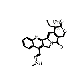 CC[C@@]1(O)C(=O)OCc2c1cc1n(c2=O)Cc2c-1nc1ccccc1c2C=NNC